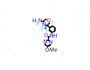 COc1cnc(C(=O)Nc2ccc(F)c([C@]3(C(F)F)COCC(N)=N3)c2)nc1